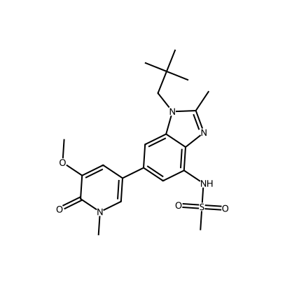 COc1cc(-c2cc(NS(C)(=O)=O)c3nc(C)n(CC(C)(C)C)c3c2)cn(C)c1=O